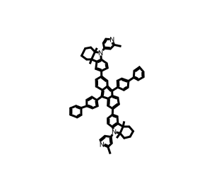 Cc1cc(N2c3ccc(-c4ccc5c(-c6ccc(-c7ccccc7)cc6)c6cc(-c7ccc8c(c7)C7(C)CCCCC7(C)N8c7ccnc(C)c7)ccc6c(-c6ccc(-c7ccccc7)cc6)c5c4)cc3C3(C)CCCCC23C)ccn1